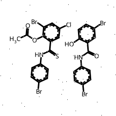 CC(=O)Oc1c(Br)cc(Cl)cc1C(=S)Nc1ccc(Br)cc1.O=C(Nc1ccc(Br)cc1)c1cc(Br)ccc1O